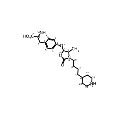 CC1C(Oc2ccc(CC(N)C(=O)O)cc2)OC(=O)N1CCCCC1CCNCC1